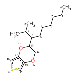 CCCCCCC(C(C)C)C1COc2cscc2O1